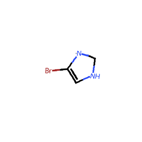 BrC1=CNC[N]1